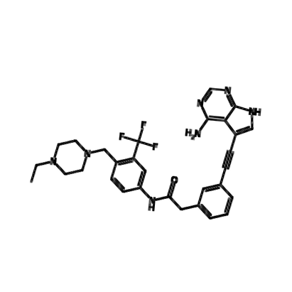 CCN1CCN(Cc2ccc(NC(=O)Cc3cccc(C#Cc4c[nH]c5ncnc(N)c45)c3)cc2C(F)(F)F)CC1